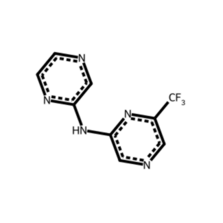 FC(F)(F)c1cncc(Nc2cnccn2)n1